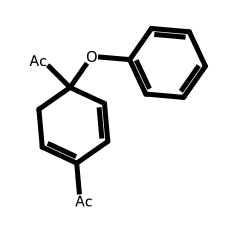 CC(=O)C1=CCC(Oc2ccccc2)(C(C)=O)C=C1